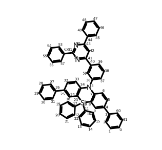 c1ccc(-c2ccc3c(c2)[Si](c2ccccc2)(c2ccccc2)c2cc(-c4ccccc4)ccc2N3c2cccc(-c3cc(-c4ccccc4)nc(-c4ccccc4)n3)c2)cc1